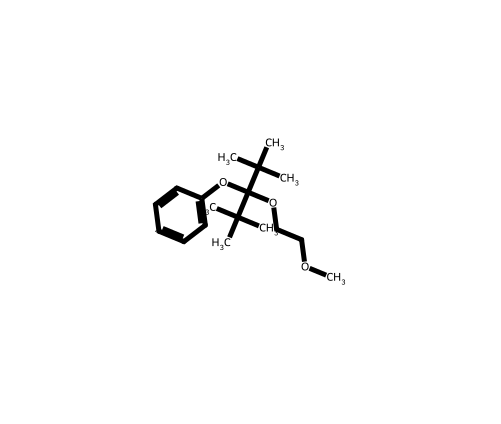 COCCOC(Oc1cc[c]cc1)(C(C)(C)C)C(C)(C)C